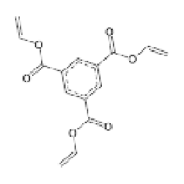 C=COC(=O)c1cc(C(=O)OC=C)cc(C(=O)OC=C)c1